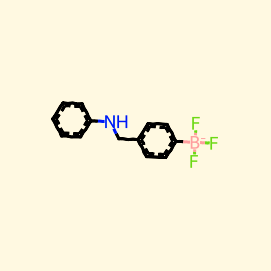 F[B-](F)(F)c1ccc(CNc2ccccc2)cc1